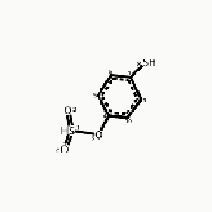 O=[SH](=O)Oc1ccc(S)cc1